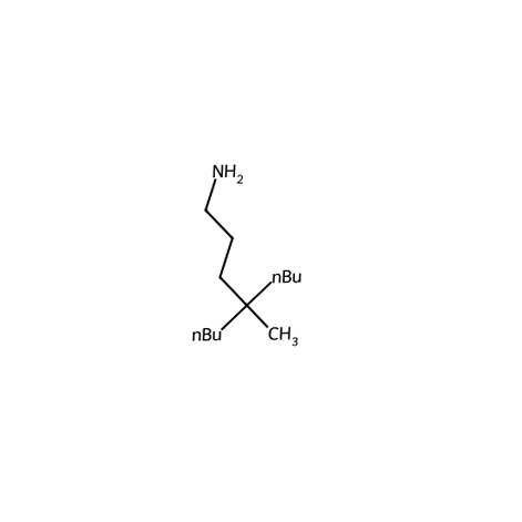 CCCCC(C)(CCCC)CCCN